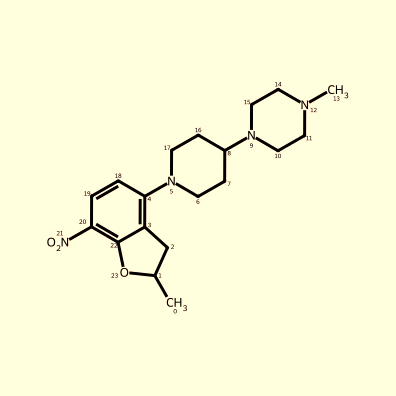 CC1Cc2c(N3CCC(N4CCN(C)CC4)CC3)ccc([N+](=O)[O-])c2O1